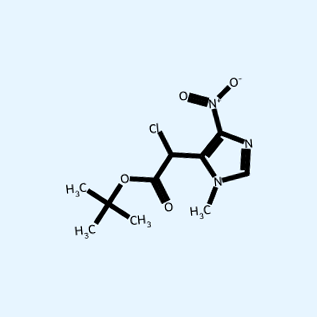 Cn1cnc([N+](=O)[O-])c1C(Cl)C(=O)OC(C)(C)C